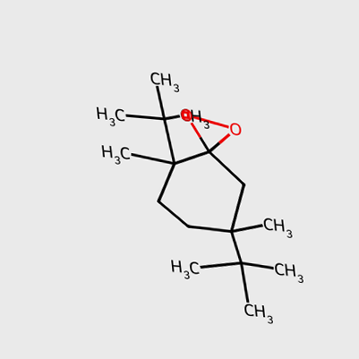 CC(C)(C)C1(C)CCC(C)(C(C)(C)C)C2(C1)OO2